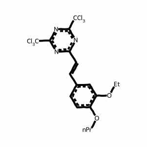 CCCOc1ccc(C=Cc2nc(C(Cl)(Cl)Cl)nc(C(Cl)(Cl)Cl)n2)cc1OCC